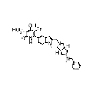 CCc1c(-c2ccc3c(c2)cc(CN2C[C@H]4C[C@@H](N(C)Cc5ccccc5)C[C@H]4C2)n3C)[nH]c(=O)c(C(=O)O)c1O